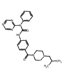 CC(C)CN1CCN(C(=O)c2ccc(NC(=O)N(c3ccccc3)c3ncncn3)cc2)CC1